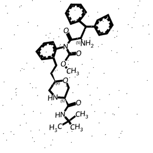 COC(=O)N(C(=O)[C@@H](N)C(c1ccccc1)c1ccccc1)c1ccccc1CC[C@@H]1CN[C@H](C(=O)NC(C)(C)C)CO1